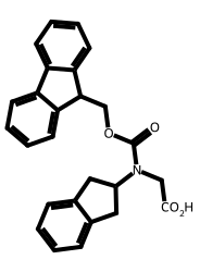 O=C(O)CN(C(=O)OCC1c2ccccc2-c2ccccc21)C1Cc2ccccc2C1